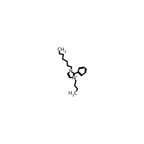 CCCCCCCn1cc[n+](CCCC)c1-c1ccccc1